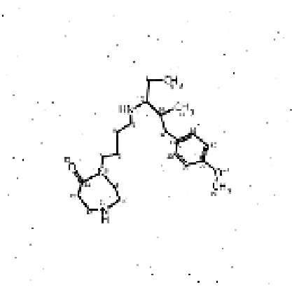 CCC(NCCCCN1CCNCCC1=O)C(C)Cc1ccc(OC)cc1